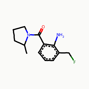 CC1CCCN1C(=O)c1cccc(CF)c1N